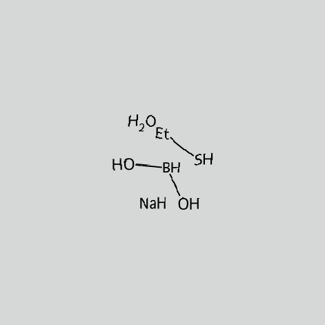 CCS.O.OBO.[NaH]